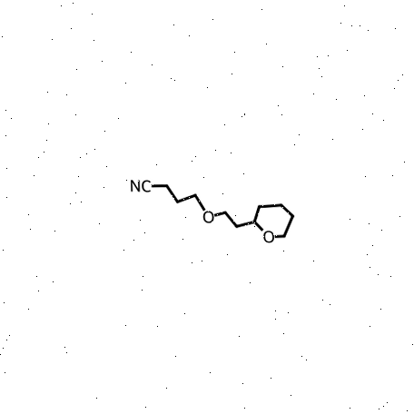 N#CCCCOCCC1CCCCO1